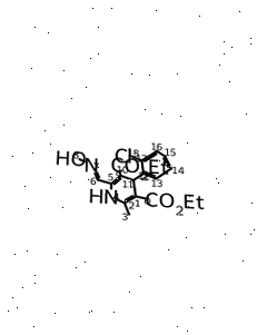 CCOC(=O)C1=C(C)NC(C=NO)=C(C(=O)OCC)C1c1ccccc1Cl